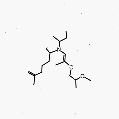 C=C(C)CCCC(C)N(/C=C(\C)OCC(C)OC)C(C)CC